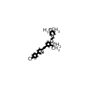 C=C(C)c1cc(C#Cc2ccc(-c3ccc(Cl)cc3)cn2)ccc1OCCN1CCC(C)(C)CC1